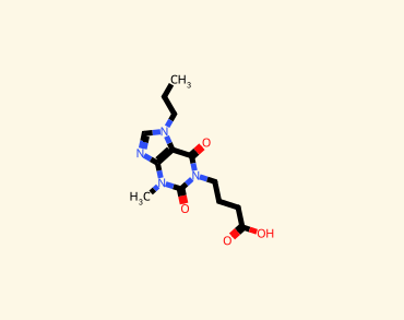 CCCn1cnc2c1c(=O)n(CCCC(=O)O)c(=O)n2C